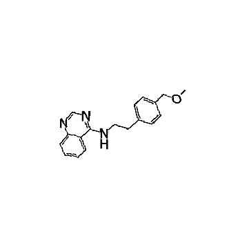 COCc1ccc(CCNc2ncnc3ccccc23)cc1